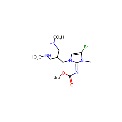 Cn1c(Br)cn(CC(CNC(=O)O)CNC(=O)O)c1=NC(=O)OC(C)(C)C